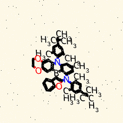 Cc1cc2c3c(c1)N(c1c(C)cc(C(C)(C)C)cc1C)c1oc4ccccc4c1B3c1cc3c(cc1N2c1c(C)cc(C(C)(C)C)cc1C)OCCO3